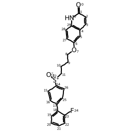 O=c1ccc2cc(OCCCC[S+]([O-])c3ccc(-c4ccccc4F)cc3)ccc2[nH]1